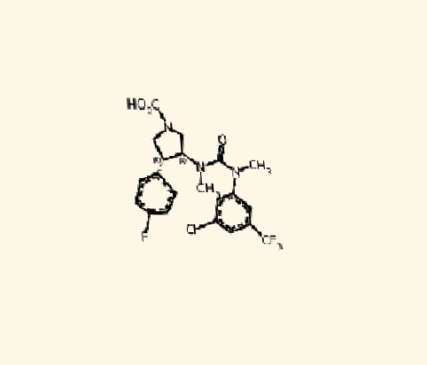 CN(C(=O)N(C)[C@@H]1CN(C(=O)O)C[C@H]1c1ccc(F)cc1)c1cc(Cl)cc(C(F)(F)F)c1